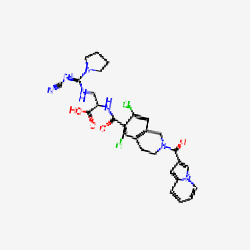 N#C/N=C(\NCC(NC(=O)c1c(Cl)cc2c(c1Cl)CCN(C(=O)c1cc3ccccn3c1)C2)C(=O)O)N1CCCC1